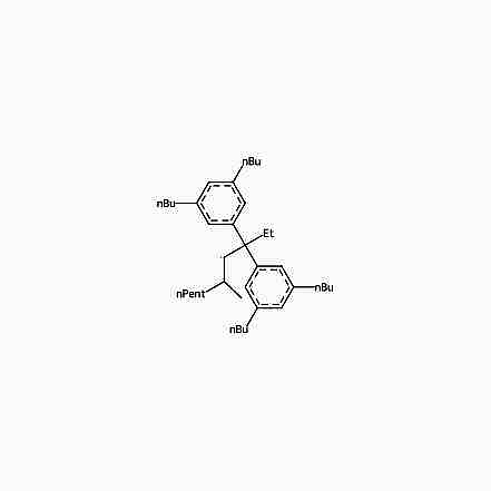 CCCCCC(C)[CH]C(CC)(c1cc(CCCC)cc(CCCC)c1)c1cc(CCCC)cc(CCCC)c1